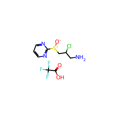 NCC(Cl)C[S+]([O-])c1ncccn1.O=C(O)C(F)(F)F